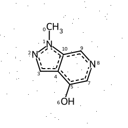 Cn1ncc2c(O)cncc21